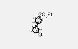 CCOC(=O)N1CCC(N2CCCC(=O)C2)CC1